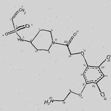 C=CS(=O)(=O)NC1CCN(C(=O)COc2cc(OCCN)c(Cl)cc2Cl)CC1